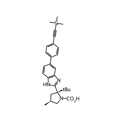 C[C@@H]1CN(C(=O)O)[C@](c2nc3cc(-c4ccc(C#C[Si](C)(C)C)cc4)ccc3[nH]2)(C(C)(C)C)C1